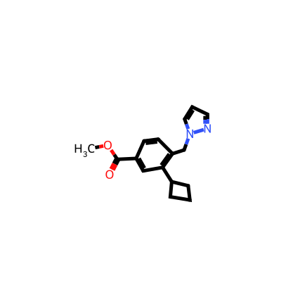 COC(=O)c1ccc(Cn2cccn2)c(C2CCC2)c1